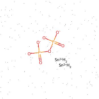 O=P([O-])([O-])OP(=O)([O-])[O-].[SnH2+2].[SnH2+2]